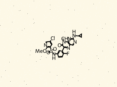 COc1ncc(Cl)cc1S(=O)(=O)Nc1ccc(F)c(-c2nc3cnc(NC4CC4)nc3n(C)c2=O)c1